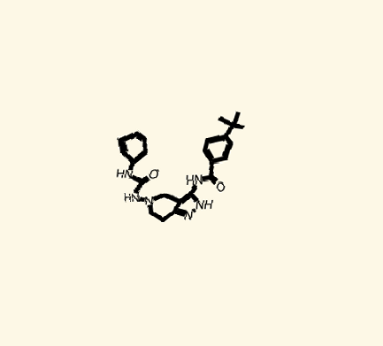 CC(C)(C)c1ccc(C(=O)Nc2[nH]nc3c2CN(NC(=O)Nc2ccccc2)CC3)cc1